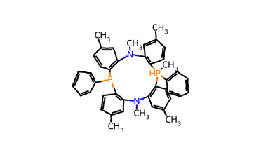 Cc1ccc2c(c1)N(C)c1cc(C)ccc1[PH](C)(c1ccccc1)c1ccc(C)cc1N(C)c1cc(C)ccc1P2c1ccccc1